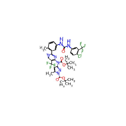 Cc1ccc(NC(=O)Nc2ccc(Cl)c(C(F)(F)F)c2)cc1-c1ncc(C(F)(F)F)c(N(C(=O)OC(C)(C)C)c2cc(C)n(C(=O)OC(C)(C)C)n2)n1